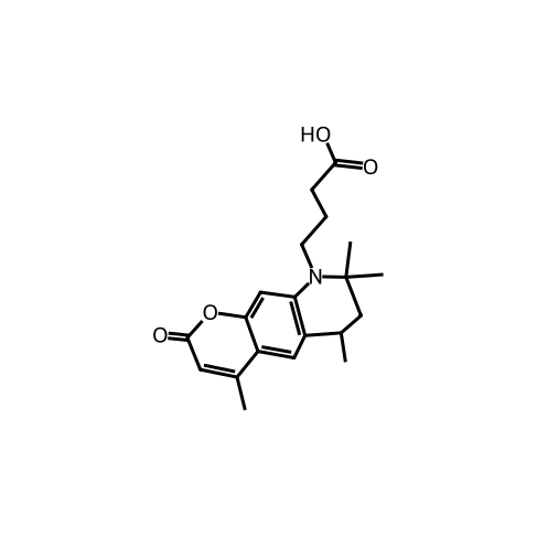 Cc1cc(=O)oc2cc3c(cc12)C(C)CC(C)(C)N3CCCC(=O)O